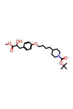 COC(=O)C(O)Cc1ccc(OCCCCC2CCN(C(=O)OC(C)(C)C)CC2)cc1